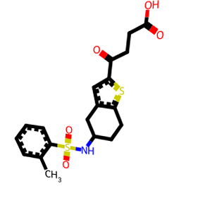 Cc1ccccc1S(=O)(=O)NC1CCc2sc(C(=O)CCC(=O)O)cc2C1